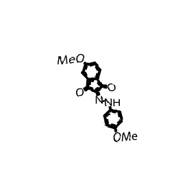 COc1ccc(N/N=c2\c(=O)c3ccc(OC)cc3c2=O)cc1